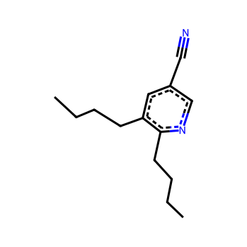 CCCCc1cc(C#N)cnc1CCCC